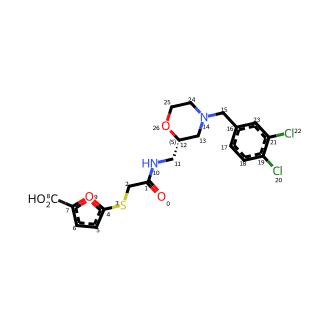 O=C(CSc1ccc(C(=O)O)o1)NC[C@H]1CN(Cc2ccc(Cl)c(Cl)c2)CCO1